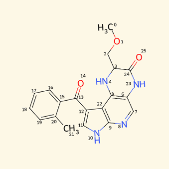 COCC1Nc2c(cnc3[nH]cc(C(=O)c4ccccc4C)c23)NC1=O